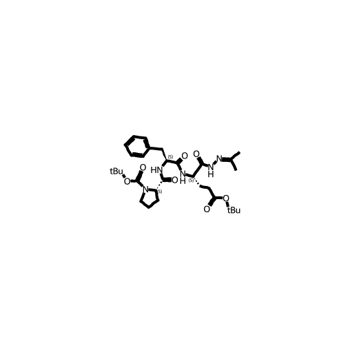 CC(C)=NNC(=O)[C@H](CCC(=O)OC(C)(C)C)NC(=O)[C@H](Cc1ccccc1)NC(=O)[C@@H]1CCCN1C(=O)OC(C)(C)C